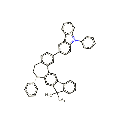 CC1(C)c2ccccc2-c2cc3c(cc21)[C@H](c1ccccc1)CCc1ccc(-c2ccc4c(c2)c2ccccc2n4-c2ccccc2)cc1-3